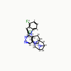 Fc1cccc2c1ccn2[C@H]1CC[C@@H](N2C3CCN(c4cnnc(Cl)c4)CC2C3)CC1